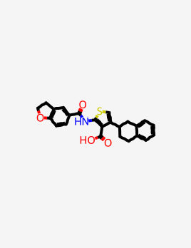 O=C(Nc1scc(C2CCc3ccccc3C2)c1C(=O)O)c1ccc2c(c1)CCO2